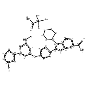 CNc1nc(Oc2ccc(-c3nc4cc(C(=O)O)ccc4n3C3CCCCC3)cc2)nc(-c2cccc(Cl)c2)n1.O=C(O)C(F)(F)F